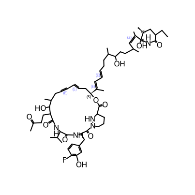 CCC1C[C@H](C)[C@@](O)(/C(C)=C\C(C)CCC(O)C(C)CC/C=C/C=C(\C)[C@@H]2C/C=C/C=C/CC(C)C(O)C(CCC(C)=O)C(=O)NC(C(C)C)C(=O)NC(Cc3ccc(F)c(O)c3)C(=O)N3CCCC(N3)C(=O)O2)NC1=O